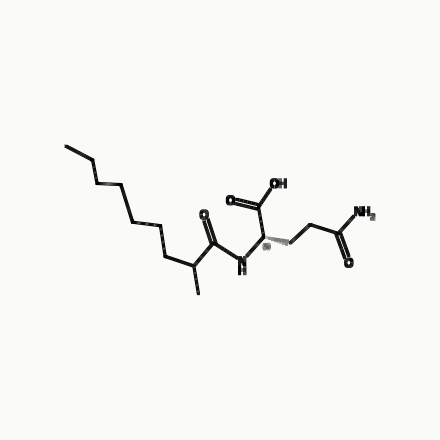 CCCCCCCC(C)C(=O)N[C@@H](CCC(N)=O)C(=O)O